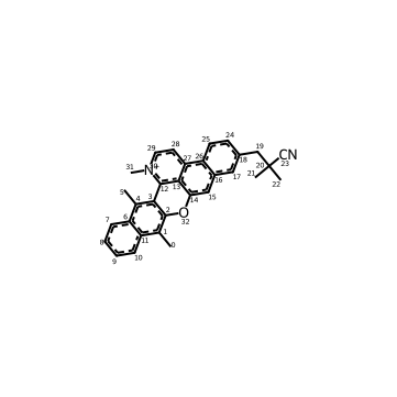 Cc1c2c(c(C)c3ccccc13)-c1c3c(cc4cc(CC(C)(C)C#N)ccc4c3cc[n+]1C)O2